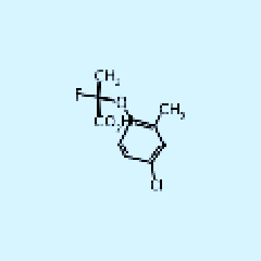 Cc1cc(Cl)ccc1OC(C)(F)C(=O)O